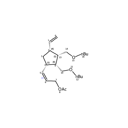 C=C[C@H]1C[C@@H](/C=C\COC(C)=O)[C@@H](COCCCC)[C@H]1COCCCC